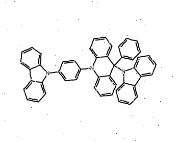 c1ccc(C2(n3c4ccccc4c4ccccc43)c3ccccc3N(c3ccc(-n4c5ccccc5c5ccccc54)cc3)c3ccccc32)cc1